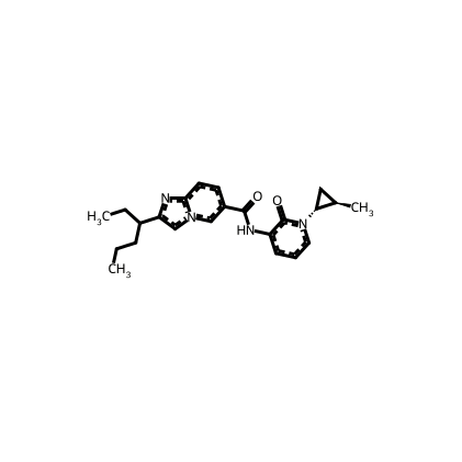 CCCC(CC)c1cn2cc(C(=O)Nc3cccn([C@@H]4C[C@H]4C)c3=O)ccc2n1